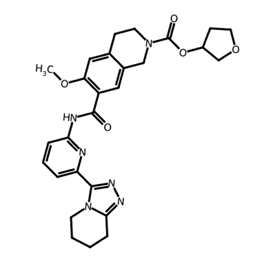 COc1cc2c(cc1C(=O)Nc1cccc(-c3nnc4n3CCCC4)n1)CN(C(=O)OC1CCOC1)CC2